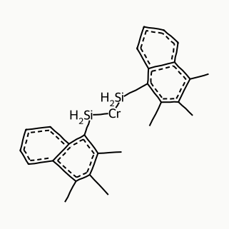 Cc1c(C)c([SiH2][Cr][SiH2]c2c(C)c(C)c(C)c3ccccc23)c2ccccc2c1C